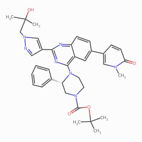 Cn1cc(-c2ccc3nc(-c4cnn(CC(C)(C)O)c4)nc(N4CCN(C(=O)OC(C)(C)C)C[C@@H]4c4ccccc4)c3c2)ccc1=O